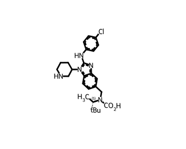 C[C@H](N(Cc1ccc2c(c1)nc(Nc1ccc(Cl)cc1)n2C1CCCNC1)C(=O)O)C(C)(C)C